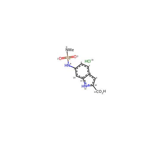 CNS(=O)(=O)Nc1ccc2cc(C(=O)O)[nH]c2c1.Cl